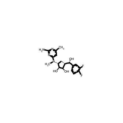 Cc1cc(N(C)[C@@H]2C[C@H]([C@H](O)c3ccc(F)c(F)c3)[C@@H](O)[C@H]2O)nc(N)n1